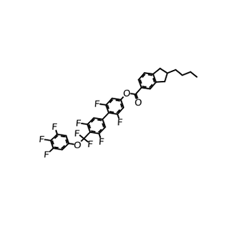 CCCCC1Cc2ccc(C(=O)Oc3cc(F)c(-c4cc(F)c(C(F)(F)Oc5cc(F)c(F)c(F)c5)c(F)c4)c(F)c3)cc2C1